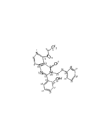 O=c1c2c(OCC(F)(F)F)nccc2nc(-c2ccccc2O)n1CCc1ccccc1